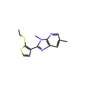 CCSc1sccc1-c1nc2cc(C)cnc2n1C